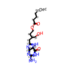 CCCCCCCCCCCCCC(=O)OCCC(CO)Cc1nc2nc(N)[nH]c(=O)c2[nH]1